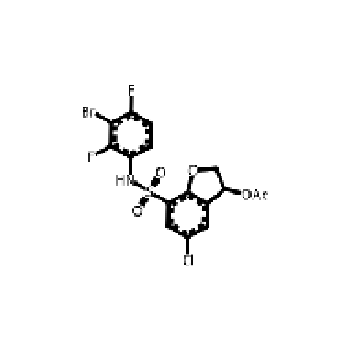 CC(=O)OC1COc2c1cc(Cl)cc2S(=O)(=O)Nc1ccc(F)c(Br)c1F